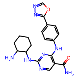 NC(=O)c1cnc(NC2CCCCC2N)nc1Nc1ccc(-c2nnco2)cc1